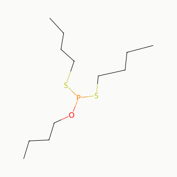 CCCCOP(SCCCC)SCCCC